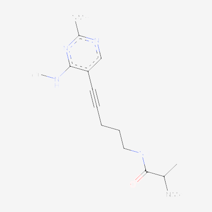 CCCNc1nc(NC)ncc1C#CCCCNC(=O)C(C)NC